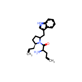 C=CCC(N)C(=O)N1C(Cc2c[nH]c3ccccc23)CC[C@@H]1CC=C